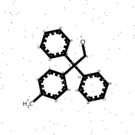 Cc1ccc(C(CCl)(c2ccccc2)c2ccccc2)cc1